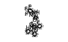 COC(=O)N[C@H](C(=O)Nc1ccccc1CC[C@@H]1CN[C@H](c2nc3c(F)c(F)c(F)cc3[nH]2)CO1)C(c1ccccc1)c1ccccc1